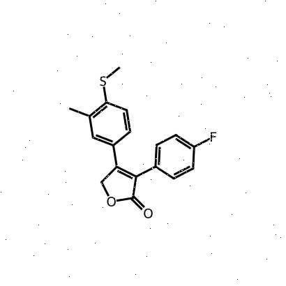 CSc1ccc(C2=C(c3ccc(F)cc3)C(=O)OC2)cc1C